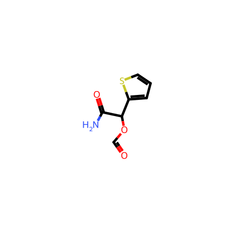 NC(=O)C(OC=O)c1cccs1